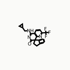 O=C1N=C(NCC2CC2)c2ccc(C(F)(F)F)nc2C12CCc1ccccc12